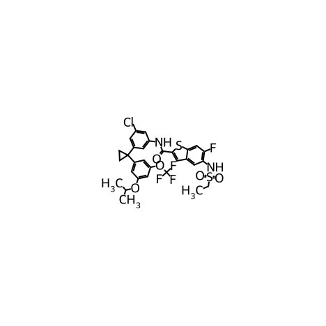 CCS(=O)(=O)Nc1cc2cc(C(=O)Nc3cc(Cl)cc(C4(c5cc(OC(C)C)cc(OC(F)(F)F)c5)CC4)c3)sc2cc1F